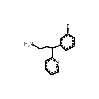 NCCC(c1cccc(F)c1)c1ccccn1